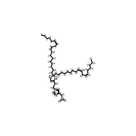 CCCCC/C=C\C/C=C\CCCCCCCCC1(CCCCCCCC/C=C\C/C=C\CCCCC)OCC(CCn2cc(CN(C)C)nn2)O1